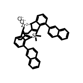 CCC1=C2c3c(-c4ccc5ccccc5c4)cccc3[CH]1[Zr+2][CH]1C(CC)=C(c3c(-c4ccc5ccccc5c4)cccc31)[Si]2(C)C.[Cl-].[Cl-]